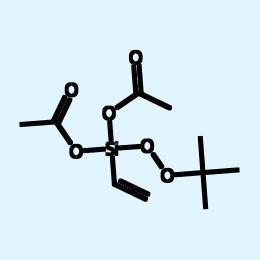 C=C[Si](OOC(C)(C)C)(OC(C)=O)OC(C)=O